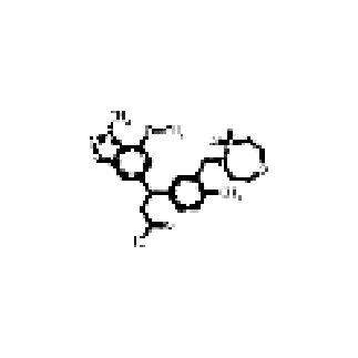 COc1cc(C(CC(=O)O)c2ccc(C)c(CN3CCOCCS3(=O)=O)c2)cc2nnn(C)c12